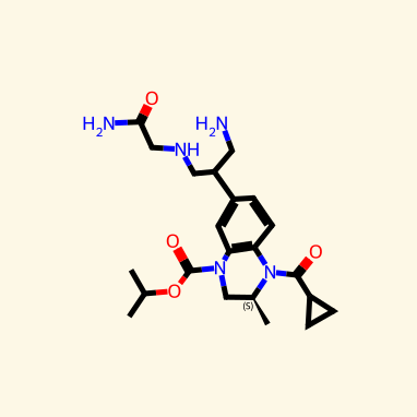 CC(C)OC(=O)N1C[C@H](C)N(C(=O)C2CC2)c2ccc(C(CN)CNCC(N)=O)cc21